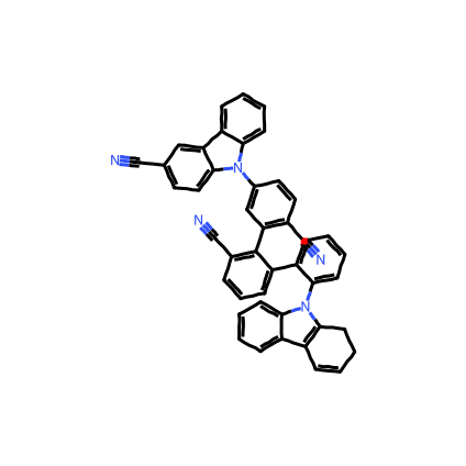 N#Cc1ccc2c(c1)c1ccccc1n2-c1ccc(C#N)c(-c2c(C#N)cccc2-c2ccccc2-n2c3c(c4ccccc42)C=CCC3)c1